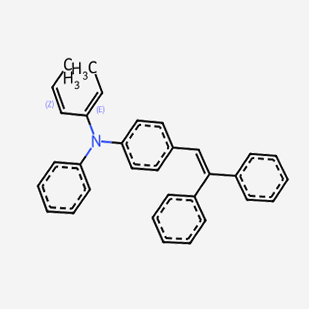 C/C=C\C(=C/C)N(c1ccccc1)c1ccc(C=C(c2ccccc2)c2ccccc2)cc1